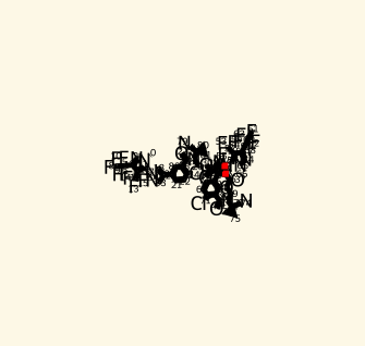 Cn1nc(C(F)(F)C(F)(F)F)c(C(F)(F)F)c1-n1cc(-c2ccc(Cl)c(C(=O)N(COC(=O)C3CC3C(=O)OCN(C(=O)c3cc(-c4cnn(-c5c(C(F)(F)F)c(C(F)(F)C(F)(F)F)nn5C)c4)ccc3Cl)C3(C#N)CC3)C3(C#N)CC3)c2)cn1